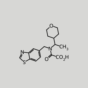 CC(C1CCOCC1)N(Cc1ccc2scnc2c1)C(=O)C(=O)O